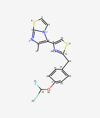 Cc1nc2sccn2c1-c1csc(Cc2ccc(OC(F)F)cc2)n1